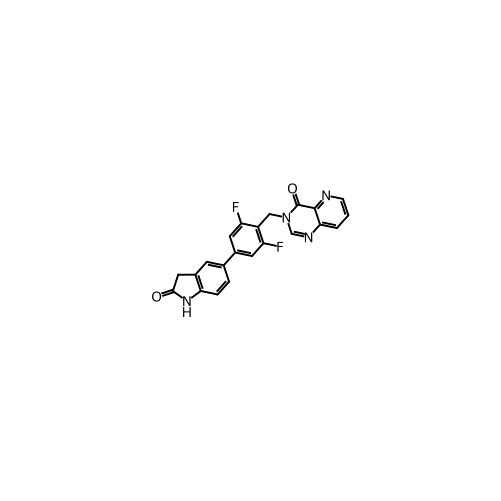 O=C1Cc2cc(-c3cc(F)c(Cn4cnc5cccnc5c4=O)c(F)c3)ccc2N1